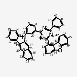 c1ccc(-c2nc(-c3cccc(-n4c5ccccc5c5cc6ccccc6cc54)c3)nc(-c3cccc4oc5ccccc5c34)n2)cc1